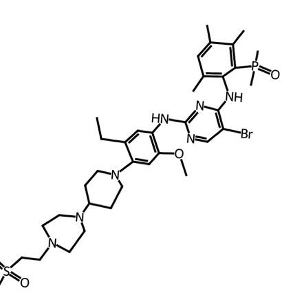 CCc1cc(Nc2ncc(Br)c(Nc3c(C)cc(C)c(C)c3P(C)(C)=O)n2)c(OC)cc1N1CCC(N2CCN(CCS(C)(=O)=O)CC2)CC1